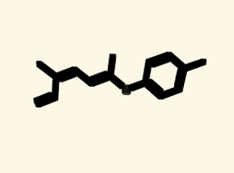 C=C/C(C)=C\C=C(/C)Oc1ccc(C)cc1